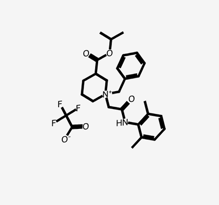 Cc1cccc(C)c1NC(=O)C[N+]1(Cc2ccccc2)CCCC(C(=O)OC(C)C)C1.O=C([O-])C(F)(F)F